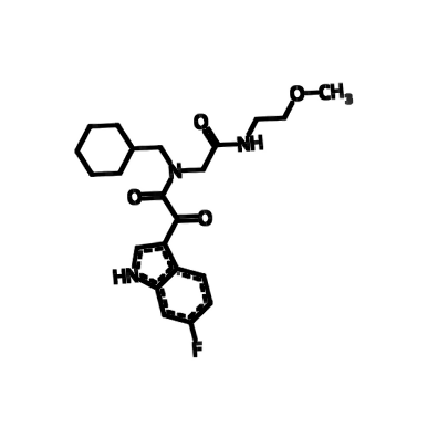 COCCNC(=O)CN(CC1CCCCC1)C(=O)C(=O)c1c[nH]c2cc(F)ccc12